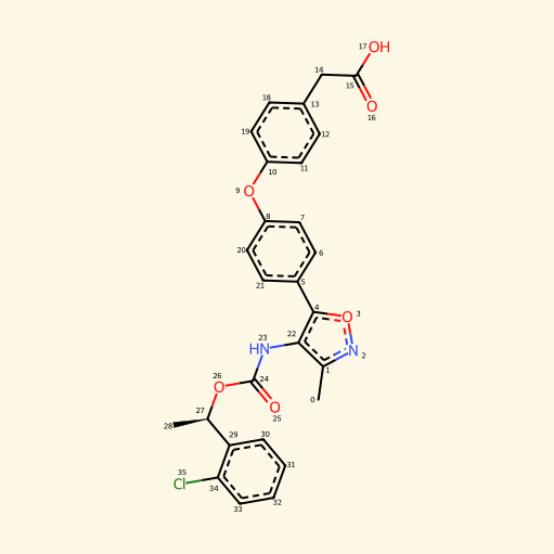 Cc1noc(-c2ccc(Oc3ccc(CC(=O)O)cc3)cc2)c1NC(=O)O[C@H](C)c1ccccc1Cl